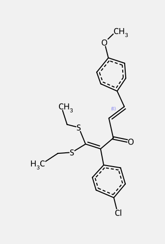 CCSC(SCC)=C(C(=O)/C=C/c1ccc(OC)cc1)c1ccc(Cl)cc1